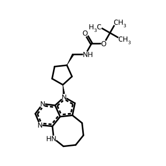 CC(C)(C)OC(=O)NC[C@@H]1CC[C@H](n2cc3c4c(ncnc42)NCCCC3)C1